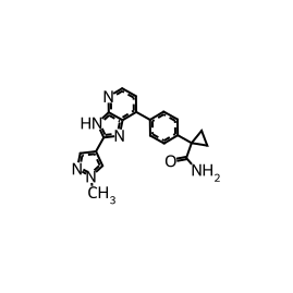 Cn1cc(-c2nc3c(-c4ccc(C5(C(N)=O)CC5)cc4)ccnc3[nH]2)cn1